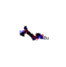 CCCCN(C)C(=O)NCC1(C)CC(NC(=O)OC(COc2ccc(C(C)(C)c3ccc(OCC(CN4CC4C)OC(=O)NCC4(C)CC(C)CC(C)(C)C4)cc3)cc2)CN2CC2C)CC(C)(C)C1